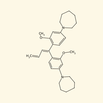 C=CC=C(c1ccc(N2CCCCCC2)cc1OC)c1ccc(N2CCCCCC2)cc1OC